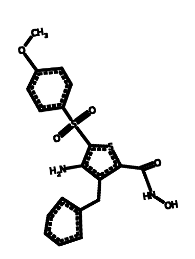 COc1ccc(S(=O)(=O)c2sc(C(=O)NO)c(Cc3ccccc3)c2N)cc1